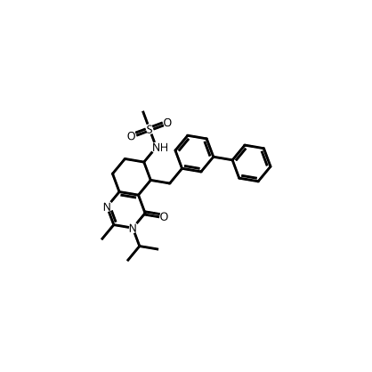 Cc1nc2c(c(=O)n1C(C)C)C(Cc1cccc(-c3ccccc3)c1)C(NS(C)(=O)=O)CC2